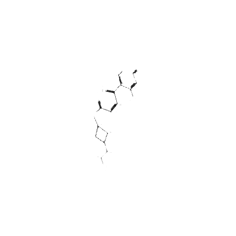 C=C/C=C(Cl)\C(=C/C)C(=N)/C=C\C(=C)OC1CC(CCC)C1